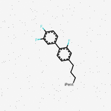 CCCC(C)CCCc1ccc(-c2ccc(F)c(F)c2)c(F)c1